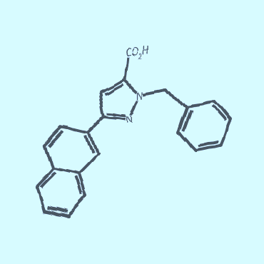 O=C(O)c1cc(-c2ccc3ccccc3c2)nn1Cc1ccccc1